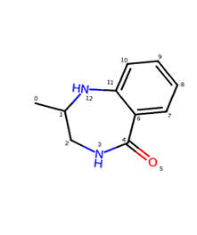 CC1CNC(=O)c2ccccc2N1